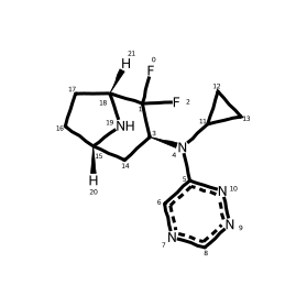 FC1(F)[C@@H](N(c2cncnn2)C2CC2)C[C@@H]2CC[C@H]1N2